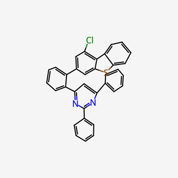 Clc1cc(-c2ccccc2-c2cc(-c3ccccc3)nc(-c3ccccc3)n2)cc2sc3ccccc3c12